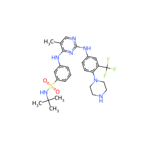 Cc1cnc(Nc2ccc(N3CCNCC3)c(C(F)(F)F)c2)nc1Nc1cccc(S(=O)(=O)NC(C)(C)C)c1